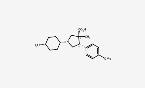 COc1ccc([C@@H]2CN([C@H]3CC[C@@H](C)CC3)C[C@@]2(C)C(=O)O)cc1